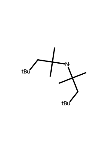 CC(C)(C)CC(C)(C)[N]C(C)(C)CC(C)(C)C